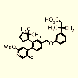 COc1cc(-c2ccc(COc3cccc(C(C)(C)CC(=O)O)c3)cc2[C@H]2CCCC2(C)C)c(F)cn1